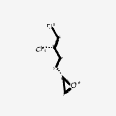 ClC[C@@H](Cl)CC[C@H]1CO1